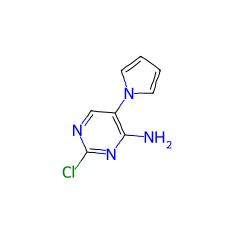 Nc1nc(Cl)ncc1-n1cccc1